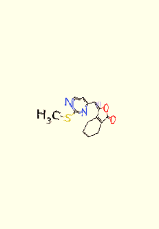 CSc1nccc(/C=C2/OC(=O)C3=C2CCCC3)n1